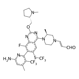 Cc1cc(N)nc(-c2c(SC(F)(F)F)cc3c(N4CCN(C=CC=O)C[C@@H]4C)nc(OC[C@@H]4CCCN4C)nc3c2F)c1C(F)(F)F